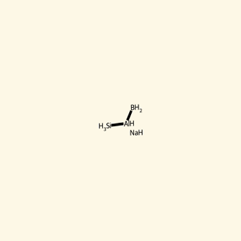 [BH2][AlH][SiH3].[NaH]